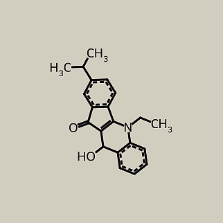 CCN1C2=C(C(=O)c3cc(C(C)C)ccc32)C(O)c2ccccc21